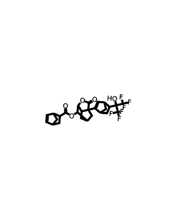 O=C(OC1C2CC3C1OC(=O)C3(C1=CC3CC1CC3C(O)(C(F)(F)F)C(F)(F)F)C2)C1CC2C=CC1C2